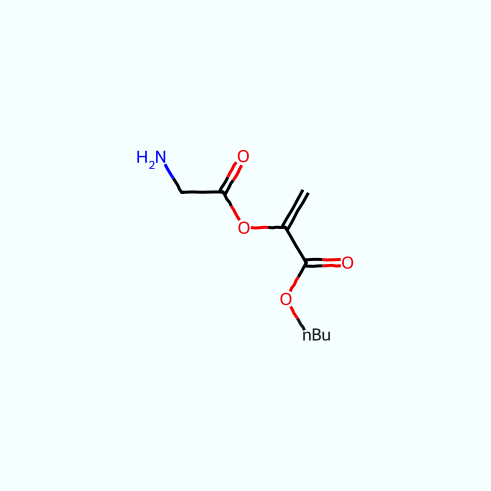 C=C(OC(=O)CN)C(=O)OCCCC